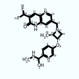 CNC(O)c1ccc(O[C@H]2CN(Cc3cnc4cc(C(F)F)c(=O)[nH]c4c3)[C@@H]2C)cn1